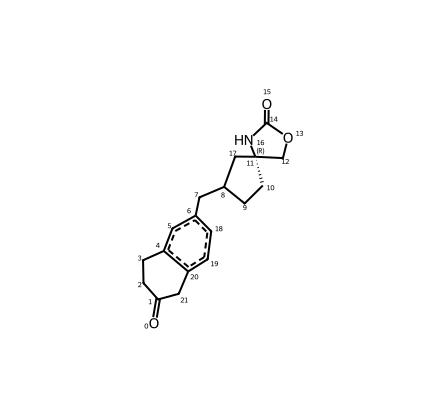 O=C1CCc2cc(CC3CC[C@]4(COC(=O)N4)C3)ccc2C1